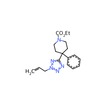 C=CCn1nnc(C2(c3ccccc3)CCN(C(=O)OCC)CC2)n1